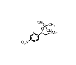 COC[C@H](O[Si](C)(C)C(C)(C)C)c1ccc([N+](=O)[O-])cn1